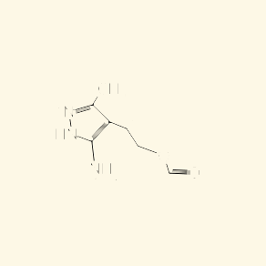 Cc1n[nH]c(N)c1CCOC=O